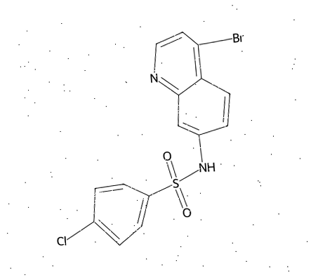 O=S(=O)(Nc1ccc2c(Br)ccnc2c1)c1ccc(Cl)cc1